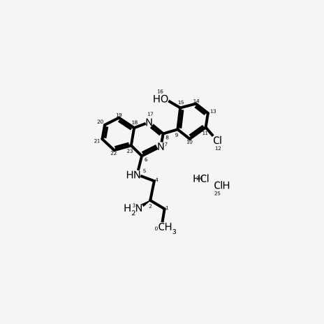 CC[C@@H](N)CNc1nc(-c2cc(Cl)ccc2O)nc2ccccc12.Cl.Cl